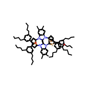 CCCCc1cc(CCCC)cc(-c2ccc(N3C(=C4N(c5ccc(-c6cc(CCCC)cc(CCCC)c6)s5)c5cc(C)c(C)cc5N4c4ccc(-c5cc(CCCC)cc(CCCC)c5)s4)N(c4ccc(-c5cc(CCCC)cc(CCCC)c5)s4)c4cc(C)c(C)cc43)s2)c1